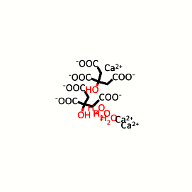 O.O.O.O=C([O-])CC(O)(CC(=O)[O-])C(=O)[O-].O=C([O-])CC(O)(CC(=O)[O-])C(=O)[O-].[Ca+2].[Ca+2].[Ca+2]